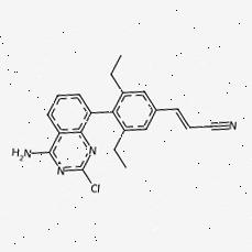 CCc1cc(C=CC#N)cc(CC)c1-c1cccc2c(N)nc(Cl)nc12